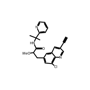 C#Cc1cnc2c(Cl)cc(CC(OC)C(=O)NC(C)(C)c3ccccn3)cc2c1